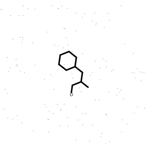 CC(CCl)CC1CCCCC1